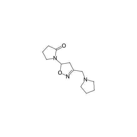 O=C1CCCN1C1CC(CN2CCCC2)=NO1